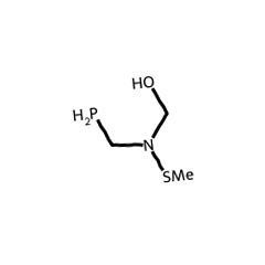 CSN(CO)CP